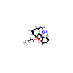 C=CCOC(=O)C1(c2ccccc2)NCCc2ccccc21